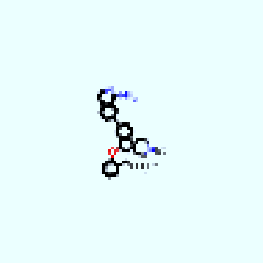 [CH2]CN1CCC2(CC1)CC(Oc1ccccc1CC(=O)OCC)c1cc(-c3ccc4ccnc(N)c4c3)ccc12